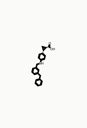 O=C(O)[C@@H]1C[C@H]1c1ccc(NCc2cccc(Cc3ccccc3)c2)cc1